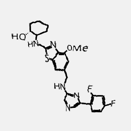 COc1cc(CNc2cncc(-c3ccc(F)cc3F)n2)cc2sc(NC3CCCC[C@H]3O)nc12